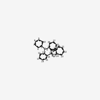 c1ccc(P(c2ccccc2)c2ccccc2-c2nc3ccccc3o2)cc1